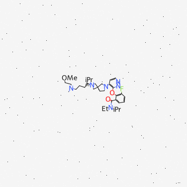 CCN(C(=O)c1cccc(F)c1Oc1nnccc1N1CCC2(C1)CN([C@@H](CCCN(C)CCOC)C(C)C)C2)C(C)C